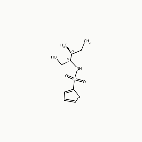 CC[C@H](C)[C@@H](CO)NS(=O)(=O)c1cccs1